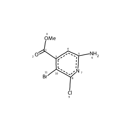 COC(=O)c1cc(N)nc(Cl)c1Br